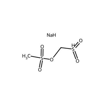 CS(=O)(=O)OC[SH](=O)=O.[NaH]